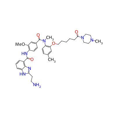 COc1cc(C(=O)N(C)c2ccc(C)cc2OCCCCCC(=O)N2CCN(C)CC2)ccc1NC(=O)c1cccc2[nH]c(CCN)nc12